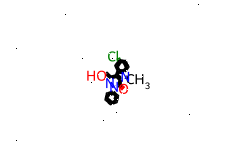 Cn1c2ccc(Cl)cc2c2c(CO)nn(-c3ccccc3)c(=O)c21